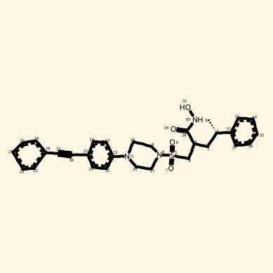 C[C@@H](CC(CS(=O)(=O)N1CCN(c2ccc(C#Cc3ccccc3)cc2)CC1)C(=O)NO)c1ccccc1